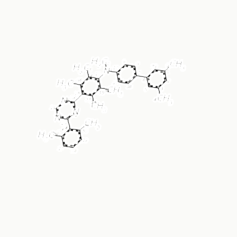 Cc1cc(C)cc(-c2ccc(N(C)c3c(C)c(C)c(-c4ncnc(-c5c(C)cccc5C)n4)c(C)c3C)cc2)c1